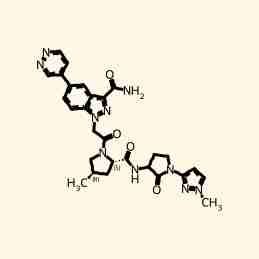 C[C@@H]1C[C@@H](C(=O)NC2CCN(c3ccn(C)n3)C2=O)N(C(=O)Cn2nc(C(N)=O)c3cc(-c4ccnnc4)ccc32)C1